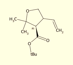 C=CC1COC(C)(C)[C@@H]1C(=O)OC(C)(C)C